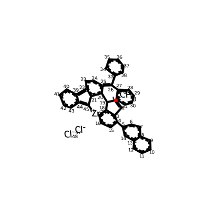 CC1=Cc2c(-c3ccc4ccccc4c3)cccc2C1c1c2c(ccc1=C(c1ccccc1)c1ccccc1)=c1ccccc1=[C]2[Zr+2].[Cl-].[Cl-]